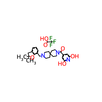 CC1(C)Cc2cccc(CN3CCC4(CC3)CCN(C(=O)c3cc(O)nc(O)c3)CC4)c2O1.O=C(O)C(F)(F)F